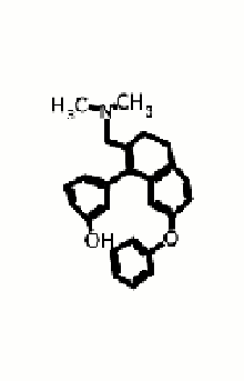 CN(C)CC1=C(c2cccc(O)c2)c2cc(Oc3ccccc3)ccc2CC1